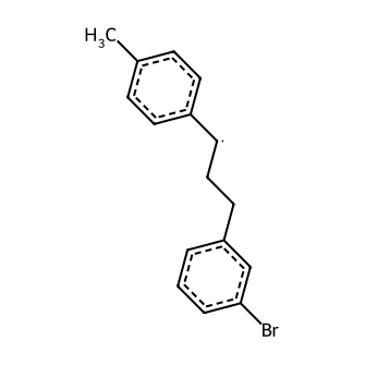 Cc1ccc([CH]CCc2cccc(Br)c2)cc1